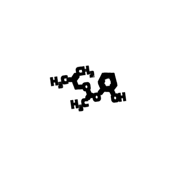 C=C(C)COC(C)Oc1ccccc1O